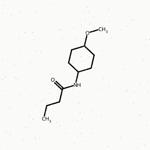 CCCC(=O)NC1CCC(OC)CC1